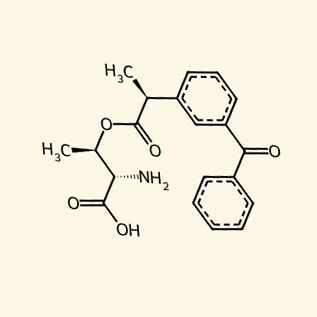 C[C@H](C(=O)O[C@H](C)[C@H](N)C(=O)O)c1cccc(C(=O)c2ccccc2)c1